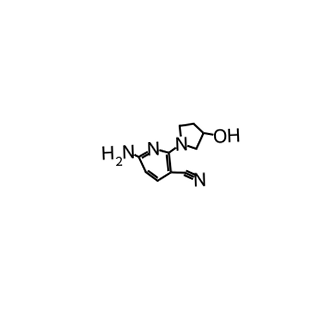 N#Cc1ccc(N)nc1N1CCC(O)C1